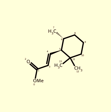 COC(=O)C=C[C@H]1[C@H](C)CCCC1(C)C